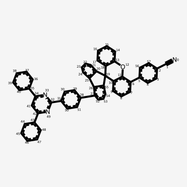 N#Cc1ccc(-c2cccc3c2Oc2ccccc2C32c3ccccc3-c3c(-c4ccc(-c5nc(-c6ccccc6)cc(-c6ccccc6)n5)cc4)cccc32)cc1